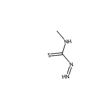 CNC(=S)N=N